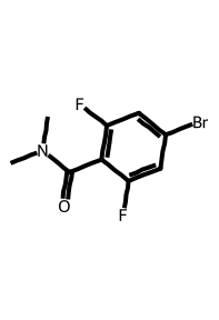 CN(C)C(=O)c1c(F)cc(Br)cc1F